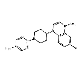 CN1C=CN(C2CCN(c3ncc(N)cn3)CC2)c2ccc(F)cc21